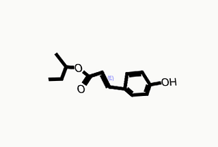 CCC(C)OC(=O)/C=C/c1ccc(O)cc1